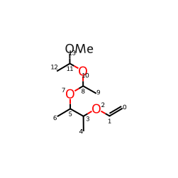 C=COC(C)C(C)OC(C)OC(C)OC